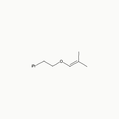 CC(C)=COCCC(C)C